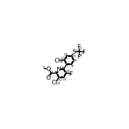 COC(=O)c1nc(-c2ccc(SC(F)(F)F)cc2Cl)c(F)cc1Cl